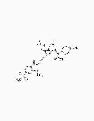 COc1cc(S(C)(=O)=O)ccc1NCC#Cc1cc2c(N(C(=O)O)C3CCN(C)CC3)cc(F)cc2n1CC(F)(F)F